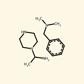 CC(N)N1CCNCC1.CN(C)Cc1ccccc1